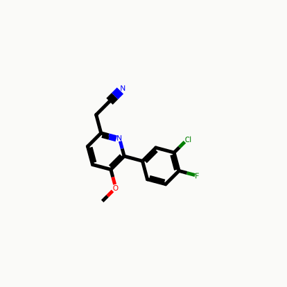 COc1ccc(CC#N)nc1-c1ccc(F)c(Cl)c1